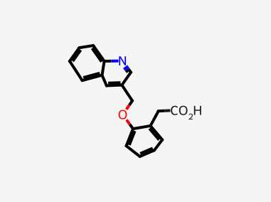 O=C(O)Cc1ccccc1OCc1cnc2ccccc2c1